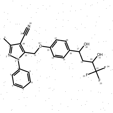 Cc1nn(-c2ccccc2)c(COc2ccc(C(O)CC(O)C(F)(F)F)cc2)c1C#N